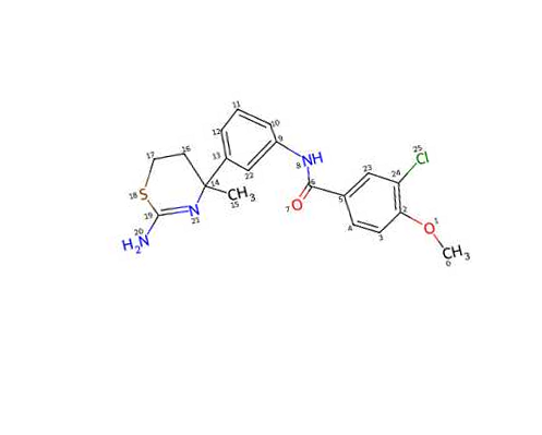 COc1ccc(C(=O)Nc2cccc(C3(C)CCSC(N)=N3)c2)cc1Cl